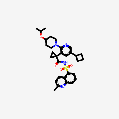 Cc1ccc2c(S(=O)(=O)NC(=O)C3(c4cc(C5CCC5)cnc4N4CCC(OC(C)C)CC4)CC3)cccc2n1